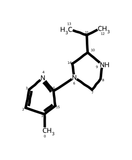 Cc1ccnc(N2CCNC(C(C)C)C2)c1